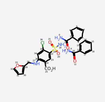 NC(=O)c1ccccc1.NC(=O)c1ccccc1.NS(=O)(=O)c1cc(C(=O)O)c(NCc2ccco2)cc1Cl